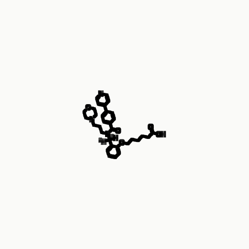 [2H]C([2H])(c1ccccc1OCCCCCC(=O)O)N(CCCN1CCOCC1)C(=O)c1ccc(-c2ccncc2)cc1